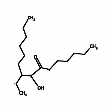 C[CH]C(CCCCCC)C(O)C(=O)[CH]CCCCC